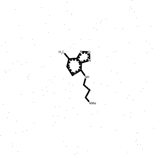 CNCCCNc1ccc(C)c2nonc12